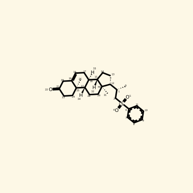 C[C@H](CS(=O)(=O)c1ccccc1)[C@H]1CC[C@H]2[C@@H]3CC=C4CC(=O)CC[C@]4(C)[C@H]3CC[C@]12C